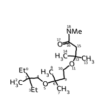 CCC(C)(CC)COC(C)(C)CCOC(C)(C)CC(=O)NC